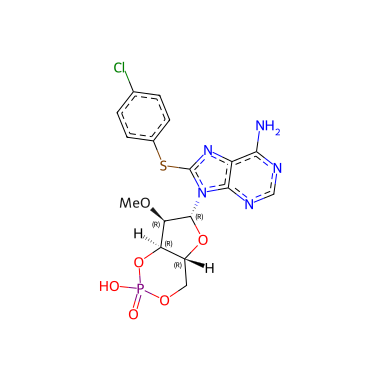 CO[C@@H]1[C@@H]2OP(=O)(O)OC[C@H]2O[C@H]1n1c(Sc2ccc(Cl)cc2)nc2c(N)ncnc21